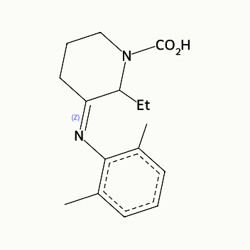 CCC1/C(=N\c2c(C)cccc2C)CCCN1C(=O)O